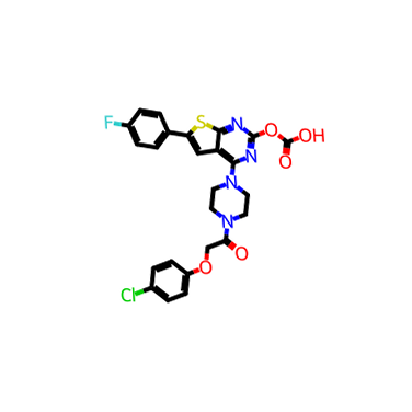 O=C(O)Oc1nc(N2CCN(C(=O)COc3ccc(Cl)cc3)CC2)c2cc(-c3ccc(F)cc3)sc2n1